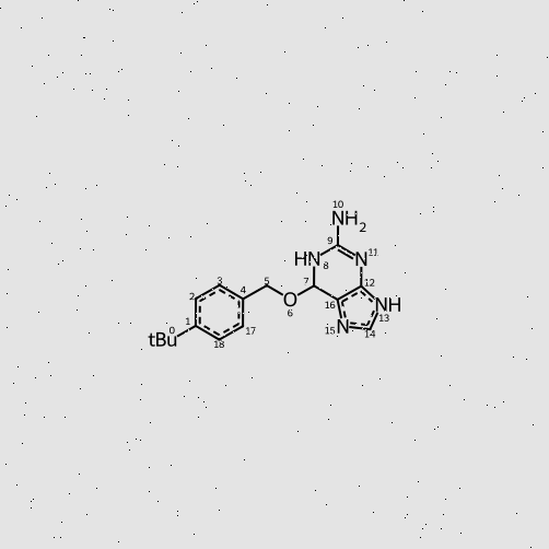 CC(C)(C)c1ccc(COC2NC(N)=Nc3[nH]cnc32)cc1